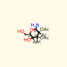 CC(=O)O[C@@]1(C(C)=O)[C@@](O)(C(C)=O)[C@@H](CO)O[C@@H](N)[C@@]1(OC(C)=O)C(C)=O